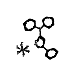 F[As-](F)(F)(F)(F)F.c1ccc(-c2csc([S+](c3ccccc3)c3ccccc3)c2)cc1